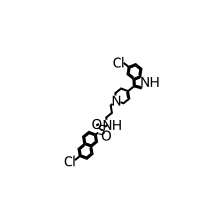 O=S(=O)(NCCCN1CC=C(c2c[nH]c3ccc(Cl)cc23)CC1)c1ccc2cc(Cl)ccc2c1